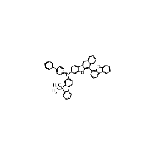 CC1(C)c2ccccc2-c2ccc(N(c3ccc(-c4ccccc4)cc3)c3ccc4c(c3)oc3c(-c5cccc6c5oc5ccccc56)c5ccccc5cc34)cc21